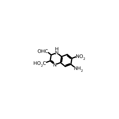 Nc1cc2c(cc1[N+](=O)[O-])NC(C=O)C(C(=O)O)=N2